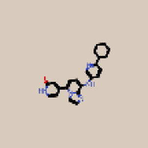 O=c1cc(-c2ccc(Nc3ccc(C4CCCCC4)nc3)c3nccn23)cc[nH]1